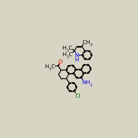 CC(=O)C1CCC(c2ccc(Cl)cc2)c2c1ccc1c2cc(N)c2ccccc21.CC1=CC(C)(C)Nc2ccccc21